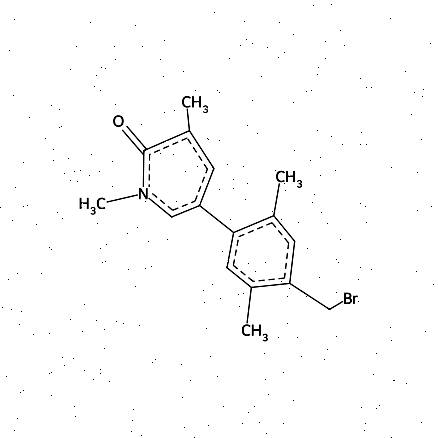 Cc1cc(-c2cc(C)c(=O)n(C)c2)c(C)cc1CBr